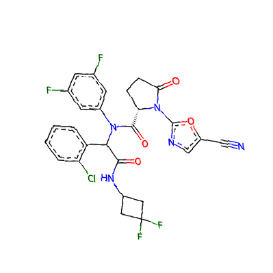 N#Cc1cnc(N2C(=O)CC[C@H]2C(=O)N(c2cc(F)cc(F)c2)C(C(=O)NC2CC(F)(F)C2)c2ccccc2Cl)o1